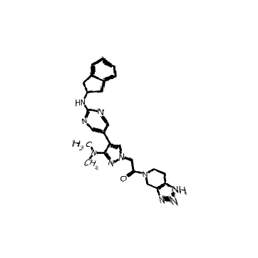 CN(C)c1nn(CC(=O)N2CCc3[nH]nnc3C2)cc1-c1cnc(NC2Cc3ccccc3C2)nc1